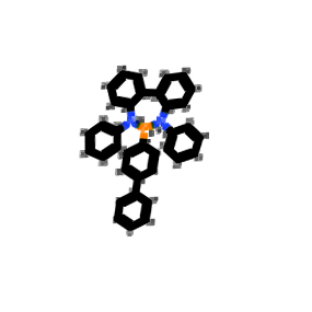 c1ccc(-c2ccc(-p3n(-c4ccccc4)c4ccccc4c4ccccc4n3-c3ccccc3)cc2)cc1